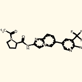 CC(=O)N1CCCC1C(=O)Nc1cn2cc(-c3cnc(N)c(C(F)(F)F)c3)ccc2n1